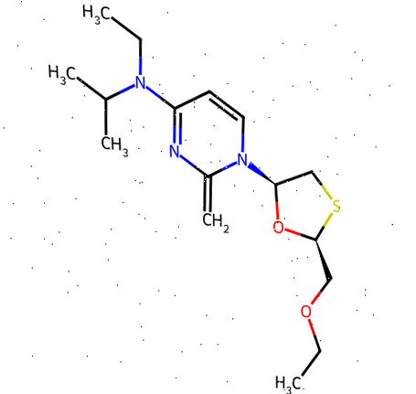 C=C1N=C(N(CC)C(C)C)C=CN1[C@H]1CS[C@@H](COCC)O1